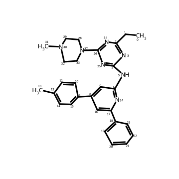 CCc1nc(Nc2cc(-c3ccc(C)cc3)cc(-c3ccccc3)n2)nc(N2CCN(C)CC2)n1